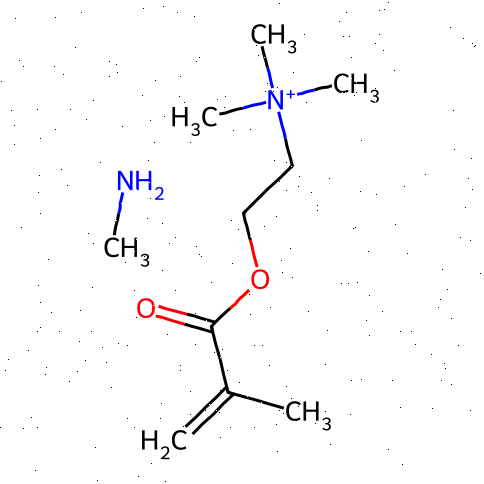 C=C(C)C(=O)OCC[N+](C)(C)C.CN